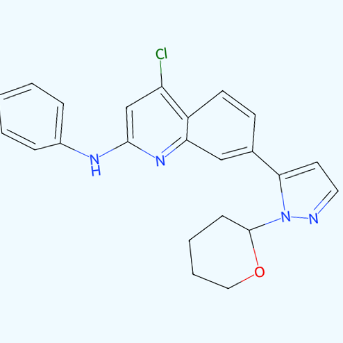 Clc1cc(Nc2ccccc2)nc2cc(-c3ccnn3C3CCCCO3)ccc12